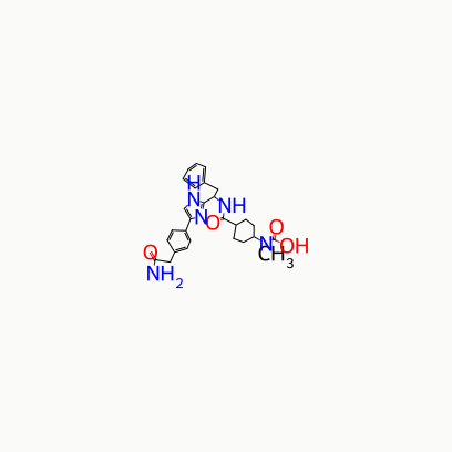 CN(C(=O)O)C1CCC(C(=O)NC(Cc2ccccc2)c2nc(-c3ccc(CC(N)=O)cc3)c[nH]2)CC1